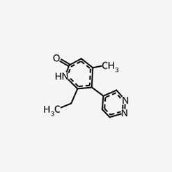 CCc1[nH]c(=O)cc(C)c1-c1ccnnc1